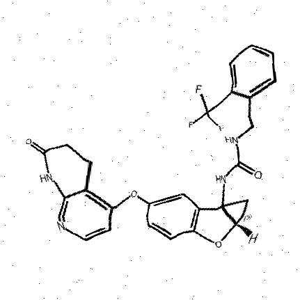 O=C1CCc2c(Oc3ccc4c(c3)C3(NC(=O)NCc5ccccc5C(F)(F)F)C[C@@H]3O4)ccnc2N1